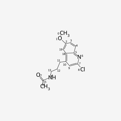 COc1ccc2nc(Cl)cc(CCCNC(C)=O)c2c1